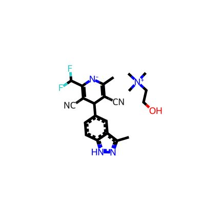 CC1=C(C#N)C(c2ccc3[nH]nc(C)c3c2)C(C#N)=C(C(F)F)[N-]1.C[N+](C)(C)CCO